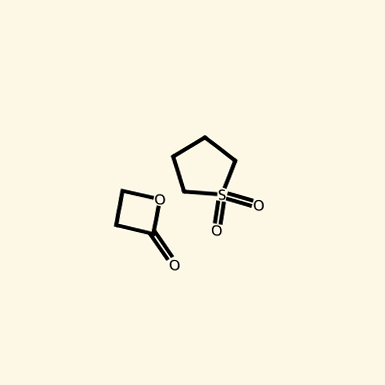 O=C1CCO1.O=S1(=O)CCCC1